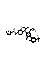 C\C=C(/C(F)=C\C(=C\OC)N1C(=O)COC2CN(SNc3ccon3)CCC21)c1cc(C(F)(F)F)ccc1F